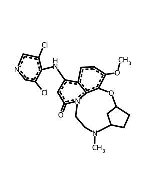 COc1ccc2c(Nc3c(Cl)cncc3Cl)cc(=O)n3c2c1OC1CCC(C1)N(C)CC3